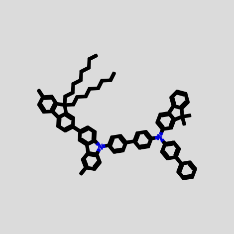 CCCCCCCCC1(CCCCCCCC)c2cc(C)ccc2-c2ccc(-c3ccc4c(c3)c3cc(C)ccc3n4-c3ccc(-c4ccc(N(c5ccc(-c6ccccc6)cc5)c5ccc6c(c5)C(C)(C)c5ccccc5-6)cc4)cc3)cc21